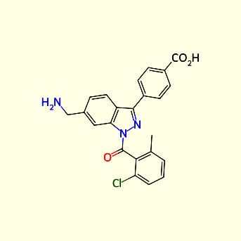 Cc1cccc(Cl)c1C(=O)n1nc(-c2ccc(C(=O)O)cc2)c2ccc(CN)cc21